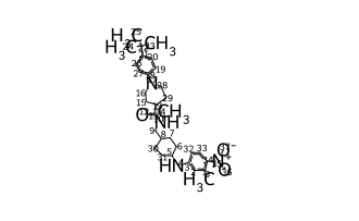 Cc1cc(NC2CCC(CNC(=O)C3(C)CCN(c4ccc(C(C)(C)C)cc4)CC3)CC2)ccc1[N+](=O)[O-]